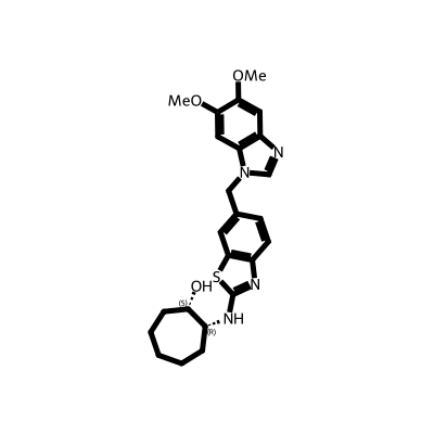 COc1cc2ncn(Cc3ccc4nc(N[C@@H]5CCCCC[C@@H]5O)sc4c3)c2cc1OC